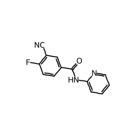 N#Cc1cc(C(=O)Nc2ccccn2)ccc1F